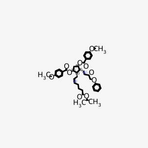 COc1ccc(C(=O)O[C@H]2C[C@@H](OC(=O)c3ccc(OC)cc3)[C@H](/C=C/C(=O)COc3ccccc3)[C@H]2C/C=C\CCCC(=O)OC(C)C)cc1